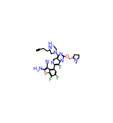 C#CCCC(N)CN(CC)c1nc(OC[C@@H]2CCCN2C)nc2c(F)c(-c3cc(F)c(F)c4sc(N)c(C#N)c34)ncc12